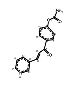 NC(=O)Oc1ccc(C(=O)C=Cc2cccnc2)cc1